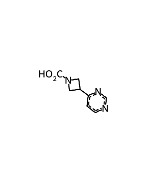 O=C(O)N1CC(c2ccncn2)C1